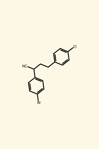 N#CC(CCc1ccc(Cl)cc1)c1ccc(Br)cc1